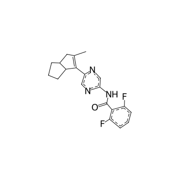 CC1=C(c2cnc(NC(=O)c3c(F)cccc3F)cn2)C2CCCC2C1